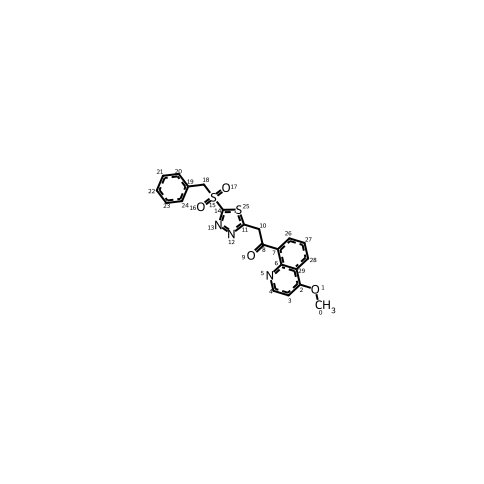 COc1ccnc2c(C(=O)Cc3nnc(S(=O)(=O)Cc4ccccc4)s3)cccc12